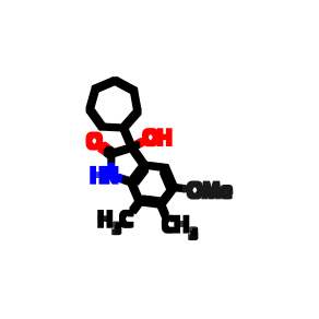 COc1cc2c(c(C)c1C)NC(=O)C2(O)C1CCCCCC1